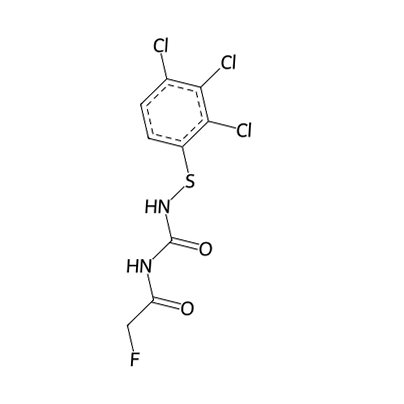 O=C(CF)NC(=O)NSc1ccc(Cl)c(Cl)c1Cl